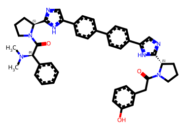 CN(C)[C@@H](C(=O)N1CCC[C@H]1c1ncc(-c2ccc(-c3ccc(-c4cnc([C@@H]5CCCN5C(=O)Cc5cccc(O)c5)[nH]4)cc3)cc2)[nH]1)c1ccccc1